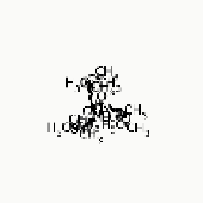 CC(C)O[Si](C)(C)CCCn1c(=O)n(CCC[Si](C)(C)OC(C)C)c(=O)n(CCC[Si](C)(C)OC(C)C)c1=O